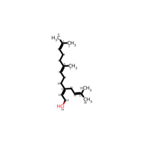 CC(C)=CCC/C(C)=C/CC/C(=C/CO)CC=C(C)C